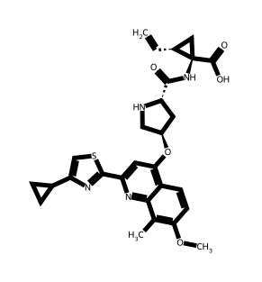 C=C[C@@H]1C[C@]1(NC(=O)[C@@H]1C[C@@H](Oc2cc(-c3nc(C4CC4)cs3)nc3c(C)c(OC)ccc23)CN1)C(=O)O